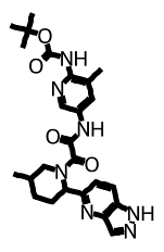 Cc1cc(NC(=O)C(=O)N2CC(C)CCC2c2ccc3[nH]ncc3n2)cnc1NC(=O)OC(C)(C)C